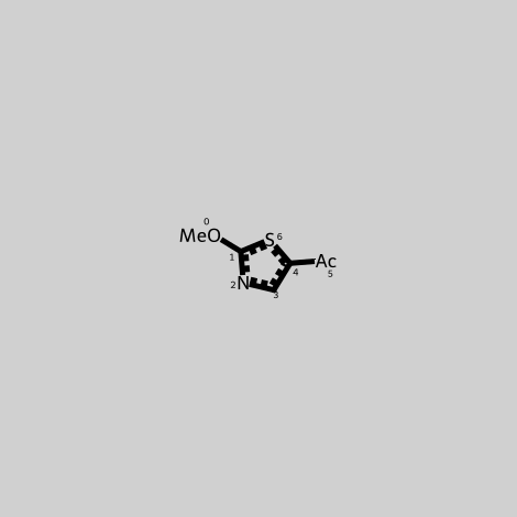 COc1ncc(C(C)=O)s1